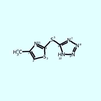 Cc1csc(Sc2nnn[nH]2)n1